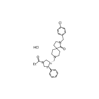 CCC(=O)N1C[C@H](CN2CCC3(CC2)CCN(Cc2ccc(Cl)cc2)C3=O)[C@@H](c2ccccc2)C1.Cl